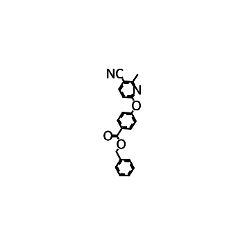 Cc1nc(Oc2ccc(C(=O)OCc3ccccc3)cc2)ccc1C#N